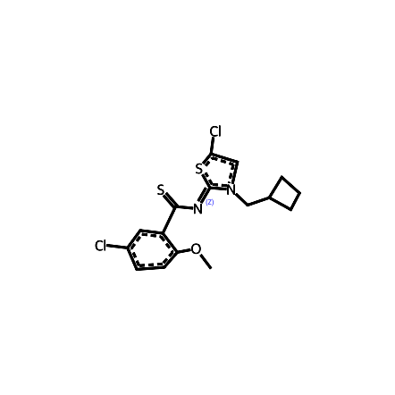 COc1ccc(Cl)cc1C(=S)/N=c1\sc(Cl)cn1CC1CCC1